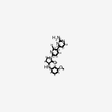 COc1cccc(NC2CCN(c3ccc(-c4ccnc(N)n4)c(C)n3)C2=O)c1